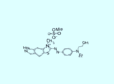 CCN(CCO)c1ccc(/N=N/c2sc3cc4cn[nH]c4cc3[n+]2C)cc1.COS(=O)(=O)[O-]